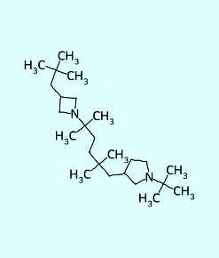 CC(C)(C)CC1CN(C(C)(C)CCC(C)(C)CC2CCN(C(C)(C)C)C2)C1